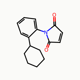 O=C1C=CC(=O)N1c1ccccc1C1CCCCC1